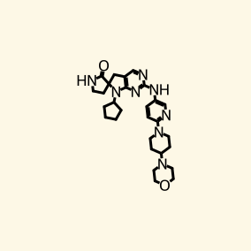 O=C1NCCC12Cc1cnc(Nc3ccc(N4CCC(N5CCOCC5)CC4)nc3)nc1N2C1CCCC1